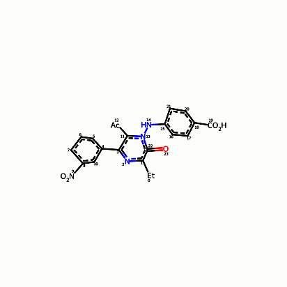 CCc1nc(-c2cccc([N+](=O)[O-])c2)c(C(C)=O)n(Nc2ccc(C(=O)O)cc2)c1=O